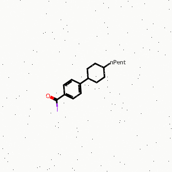 CCCCCC1CCC(c2ccc(C(=O)I)cc2)CC1